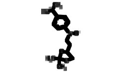 C[C@H](O)c1ccc([S+]([O-])CCC2COC(C)(C)O2)cc1